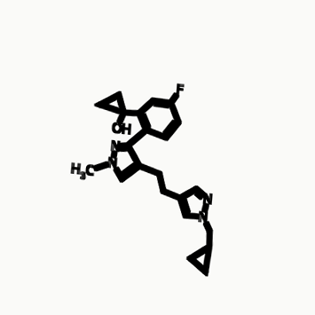 Cn1cc(CCc2cnn(CC3CC3)c2)c(-c2ccc(F)cc2C2(O)CC2)n1